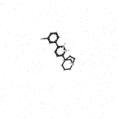 Fc1cccc(-c2ccc(C34CCCN(CC3)C4)nn2)c1